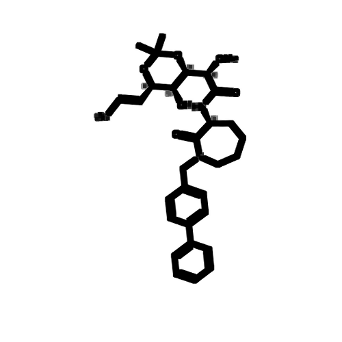 CO[C@@H](C(=O)N[C@H]1CCCCN(Cc2ccc(-c3ccccc3)cc2)C1=O)[C@@H]1OC(C)(C)O[C@H](C=CC(C)(C)C)[C@@H]1O